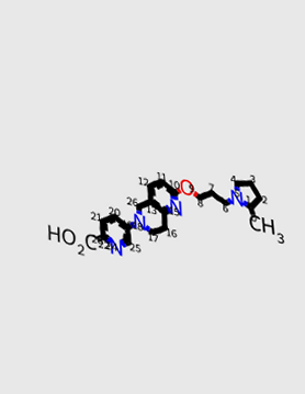 CC1CCCN1CCCOc1ccc2c(n1)CCN(c1ccc(C(=O)O)nc1)C2